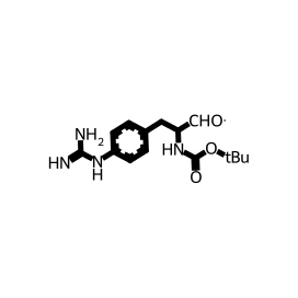 CC(C)(C)OC(=O)NC([C]=O)Cc1ccc(NC(=N)N)cc1